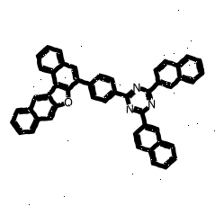 c1ccc2cc(-c3nc(-c4ccc(-c5cc6ccccc6c6c5oc5cc7ccccc7cc56)cc4)nc(-c4ccc5ccccc5c4)n3)ccc2c1